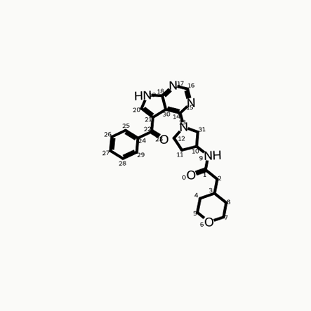 O=C(CC1CCOCC1)NC1CCN(c2ncnc3[nH]cc(C(=O)c4ccccc4)c23)C1